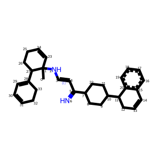 CC1(N/C=C/C(=N)C2CCC(C3CC=Cc4ccccc43)CC2)C=CCCC1C1=CC=CCC1